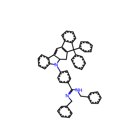 C1=C2c3ccccc3N(c3ccc(/C(=N/Cc4ccccc4)NCc4ccccc4)cc3)C2CC2=C1c1ccccc1C2(c1ccccc1)c1ccccc1